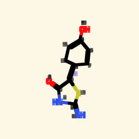 N=C1NC(=O)/C(=C2/C=CC(O)=CC2)S1